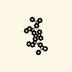 C1=CC2c3ccc(-n4c5cc6c(cc5c5c7ccccc7ccc54)-c4cc5c7c8ccccc8ccc7n(-c7ccc8c9ccccc9n(-c9ccccc9)c8c7)c5cc4C64c5ccccc5-c5ccccc54)cc3N(c3ccccc3)C2C=C1